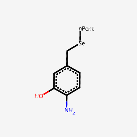 CCCCC[Se]Cc1ccc(N)c(O)c1